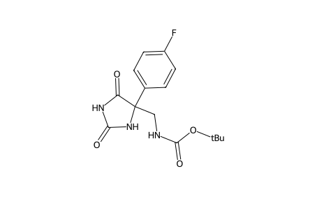 CC(C)(C)OC(=O)NCC1(c2ccc(F)cc2)NC(=O)NC1=O